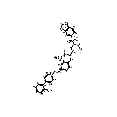 CC(C)CN(C[C@@H](O)[C@H](Cc1ccc(OCc2ccc(-c3ccccc3C#N)cc2)cc1)NC(=O)O)S(=O)(=O)c1ccc2c(c1)OCO2